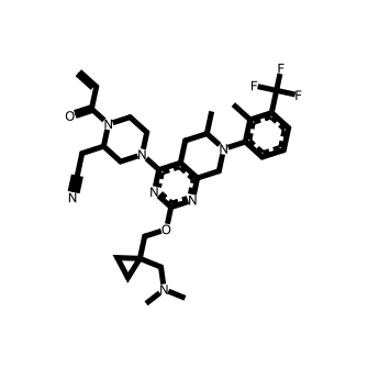 C=CC(=O)N1CCN(c2nc(OCC3(CN(C)C)CC3)nc3c2CC(C)N(c2cccc(C(F)(F)F)c2C)C3)CC1CC#N